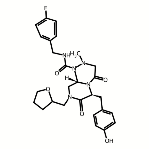 CN1CC(=O)N2[C@@H](Cc3ccc(O)cc3)C(=O)N(CC3CCCO3)C[C@@H]2N1C(=O)NCc1ccc(F)cc1